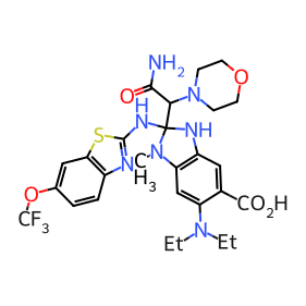 CCN(CC)c1cc2c(cc1C(=O)O)NC(Nc1nc3ccc(OC(F)(F)F)cc3s1)(C(C(N)=O)N1CCOCC1)N2C